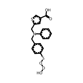 O=C(O)c1csc(CN(Cc2ccc(SOOO)cc2)c2ccccc2)c1